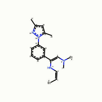 CC/C=C\N/C(=C\N(C)CC)c1cccc(-n2nc(C)cc2C)c1